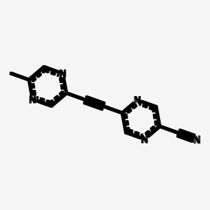 Cc1cnc(C#Cc2cnc(C#N)cn2)cn1